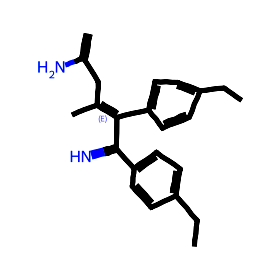 C=C(N)C/C(C)=C(/C(=N)c1ccc(CC)cc1)c1ccc(CC)cc1